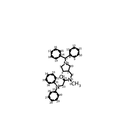 CN(CC1CCN(C(c2ccccc2)c2ccccc2)C1)C(=O)CN(c1ccccc1)c1ccccc1